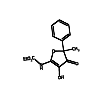 CCOC(=O)NC1=C(O)C(=O)C(C)(c2ccccc2)O1